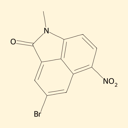 CN1C(=O)c2cc(Br)cc3c([N+](=O)[O-])ccc1c23